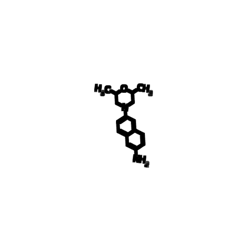 CC1CN(c2ccc3cc(N)ccc3c2)CC(C)O1